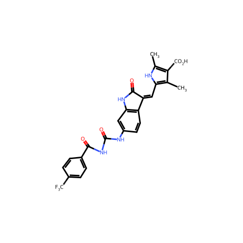 Cc1[nH]c(C=C2C(=O)Nc3cc(NC(=O)NC(=O)c4ccc(C(F)(F)F)cc4)ccc32)c(C)c1C(=O)O